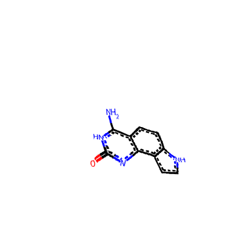 Nc1[nH]c(=O)nc2c1ccc1[nH]ccc12